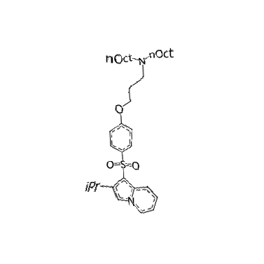 CCCCCCCCN(CCCCCCCC)CCCOc1ccc(S(=O)(=O)c2c(C(C)C)cn3ccccc23)cc1